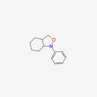 c1ccc(N2OCC3CCCCC32)cc1